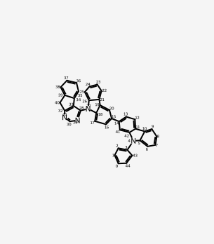 c1ccc(-n2c3ccccc3c3ccc(-c4ccc5c(c4)c4ccccc4n5-c4ncnc5c4-c4ccccc4C5)cc32)cc1